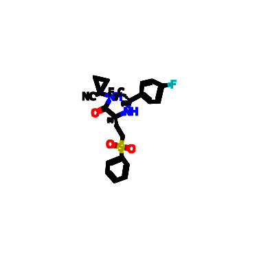 N#CC1(NC(=O)[C@H](CCS(=O)(=O)c2ccccc2)N[C@@H](c2ccc(F)cc2)C(F)(F)F)CC1